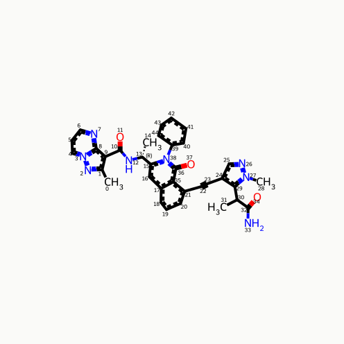 Cc1nn2cccnc2c1C(=O)N[C@H](C)c1cc2cccc(C#Cc3cnn(C)c3C(C)C(N)=O)c2c(=O)n1-c1ccccc1